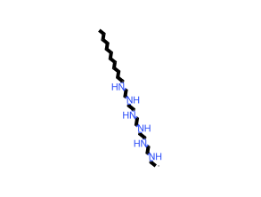 [CH2]CNCCNCCNCCNCCNCCNCCCCCCCCCCCC